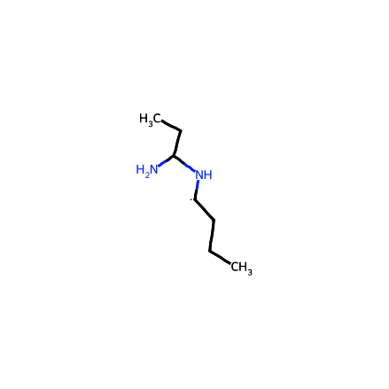 CCC[CH]NC(N)CC